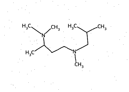 CC(C)CN(C)CCC(C)N(C)C